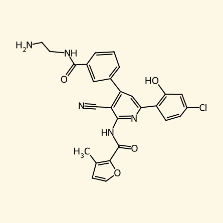 Cc1ccoc1C(=O)Nc1nc(-c2ccc(Cl)cc2O)cc(-c2cccc(C(=O)NCCN)c2)c1C#N